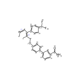 C/N=C\C(=C(/C)COc1ccc(-c2cccc(C(N)=O)c2)nn1)c1ccc(C(F)F)cn1